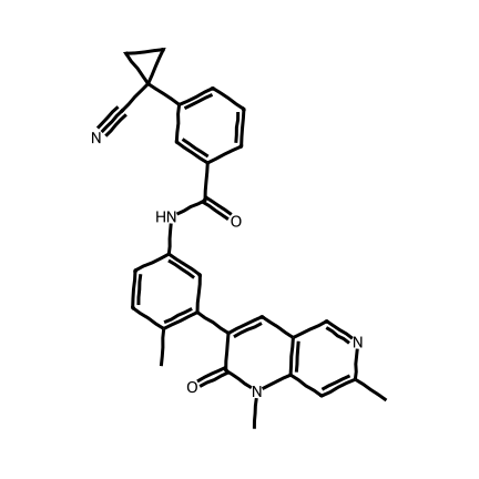 Cc1cc2c(cn1)cc(-c1cc(NC(=O)c3cccc(C4(C#N)CC4)c3)ccc1C)c(=O)n2C